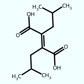 CC(C)C/C(C(=O)O)=C(/CC(C)C)C(=O)O